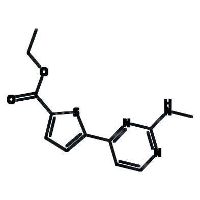 CCOC(=O)c1ccc(-c2ccnc(NC)n2)s1